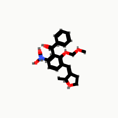 COCOc1c(C=C2CCOC2C)ccc([N+](=O)[O-])c1C(=O)c1ccccc1